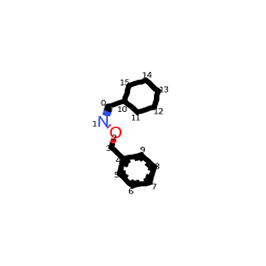 [C](=N/OCc1ccccc1)/C1CCCCC1